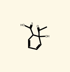 CC(=O)C1(O)C=CC=CC1C(O)=S